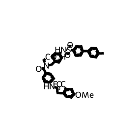 COc1ccc(CC(=O)Nc2ccc(C(=O)N(CC(=O)O)Cc3ccc(NS(=O)(=O)c4ccc(-c5ccc(C)cc5)cc4)cc3)cc2)c(C(F)(F)F)c1